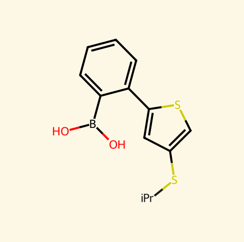 CC(C)Sc1csc(-c2ccccc2B(O)O)c1